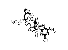 C#C[C@@]1(O)[C@@H](COC(Cc2ccn[nH]2)(C(=O)O)C(=O)O)OC[C@]1(O)n1cnc2c(N)nc(Cl)nc21